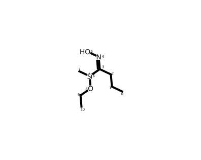 CCCC(=NO)[Si](C)OCC